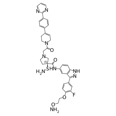 NOCCOc1ccc(-c2n[nH]c3ccc(NC(=O)[C@]4(SN)CCN(CC(=O)N5CC=C(c6ccc(-c7ncccn7)cc6)CC5)C4)cc23)cc1F